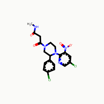 CNC(=O)CC(=O)N1CCN(c2ncc(Cl)cc2[N+](=O)[O-])C(c2ccc(Cl)cc2)C1